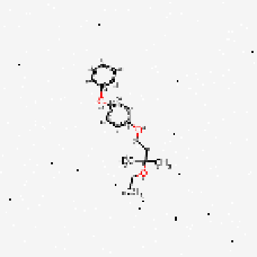 CCOC(C)(C)CCOc1ccc(Oc2ccccc2)cc1